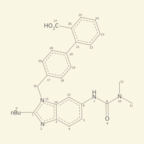 CCCCc1nc2ccc(NC(=O)N(C)C)cc2n1Cc1ccc(-c2ccccc2C(=O)O)cc1